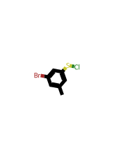 Cc1cc(Br)cc(SCl)c1